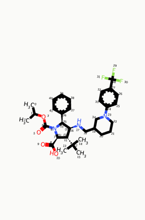 CC(C)OC(=O)N1[C@H](C(=O)O)[C@@H](C(C)(C)C)[C@H](NCC2CCCN(c3ccc(C(F)(F)F)cc3)C2)[C@@H]1c1ccccc1